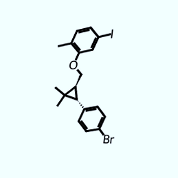 Cc1ccc(I)cc1OC[C@H]1[C@H](c2ccc(Br)cc2)C1(C)C